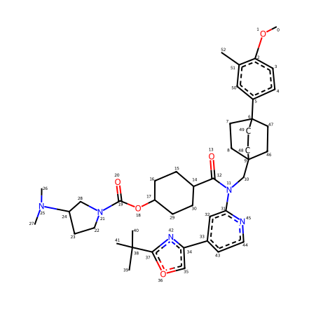 COc1ccc(C23CCC(CN(C(=O)C4CCC(OC(=O)N5CCC(N(C)C)C5)CC4)c4cc(-c5coc(C(C)(C)C)n5)ccn4)(CC2)CC3)cc1C